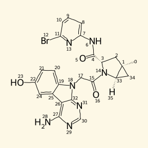 C[C@@]12C[C@@H](C(=O)Nc3cccc(Br)n3)N(C(=O)Cn3c4ccc(O)cc4c4c(N)ncnc43)[C@@H]1C2